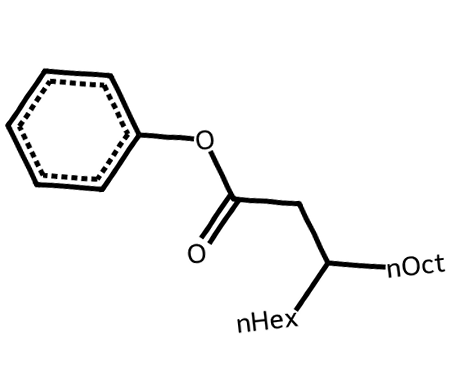 CCCCCCCCC(CCCCCC)CC(=O)Oc1ccccc1